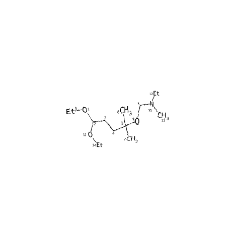 CCOC(CCC(C)(C)OCN(C)CC)OCC